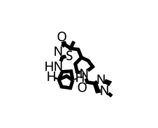 Cn1cnc(C(=O)N2CCC(CC3(C)SC(N[C@H]4C[C@H]5CC[C@H]4C5)=NC3=O)CC2)c1